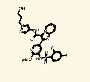 COc1ncc(-c2nc3ccccn3c2C(=O)Nc2cnn(CCCO)c2)cc1NS(=O)(=O)c1ccc(F)cc1F